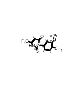 Cc1ccc(-n2c(=O)cc(C(F)(F)F)[nH]c2=S)cc1OC(C)C